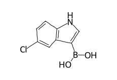 OB(O)c1c[nH]c2ccc(Cl)cc12